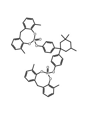 Cc1cccc2c1OP(=O)(Oc1ccc(C3(c4ccc(OP5(=O)Oc6c(C)cccc6Cc6cccc(C)c6O5)cc4)CC(C)CC(C)(C)C3)cc1)Oc1c(C)cccc1C2